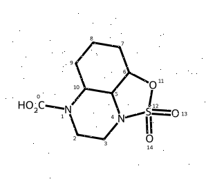 O=C(O)N1CCN2C3C(CCCC31)OS2(=O)=O